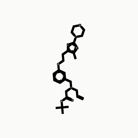 C=CCN(CC(=O)OC(C)(C)C)Cc1cccc(OCCc2nc(N3CCOCC3)sc2C)c1